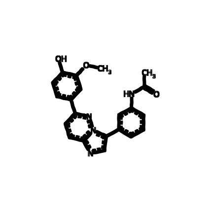 COc1cc(-c2ccc3ncc(-c4cccc(NC(C)=O)c4)n3n2)ccc1O